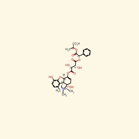 Cc1ccc(O)c2c1[C@]13CCN(C)[C@H](C)[C@]1(O)CC=C(OC(=O)[C@H](O)[C@@H](O)C(=O)O[C@H](C(=O)O[C@@H](C)C(=O)O)c1ccccc1)[C@@H]3O2